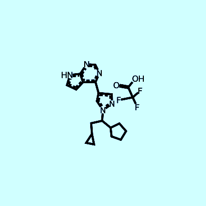 O=C(O)C(F)(F)F.c1nc(-c2cnn(C(CC3CC3)C3CCCC3)c2)c2cc[nH]c2n1